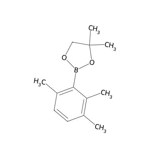 Cc1ccc(C)c(B2OCC(C)(C)O2)c1C